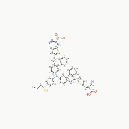 CCCC(S)c1ccc(N(c2ccc(/C=C(\c3ccccc3)c3ccc(/C=C(\C#N)C(=O)O)s3)cc2)c2ccc(/C=C(\c3ccccc3)c3ccc(/C=C(\C#N)C(=O)O)s3)cc2)cc1